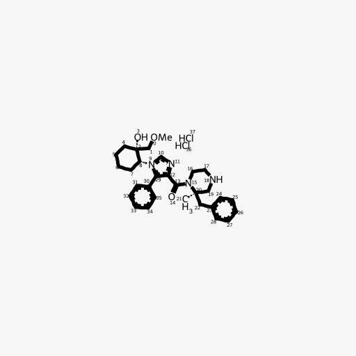 COC[C@]1(O)CCCC[C@H]1n1cnc(C(=O)N2CCNC[C@@]2(C)Cc2ccccc2)c1-c1ccccc1.Cl.Cl